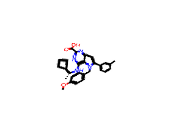 COc1ccc(Cn2c(-c3cccc(C)c3)cc3nc(C(=O)O)nc(N[C@H](C)C4CCC4)c32)cc1